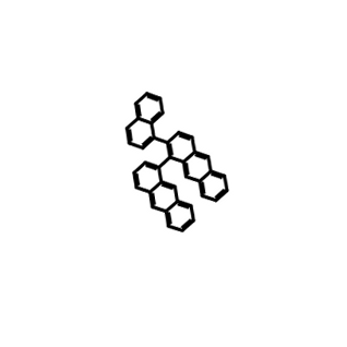 c1ccc2cc3c(-c4c(-c5cccc6ccccc56)ccc5cc6ccccc6cc45)cccc3cc2c1